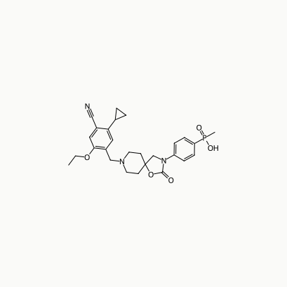 CCOc1cc(C#N)c(C2CC2)cc1CN1CCC2(CC1)CN(c1ccc(P(C)(=O)O)cc1)C(=O)O2